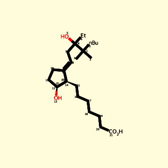 CCCCC(C)(C)C(O)(CC)CC=C1CC[C@H](O)[C@@H]1CCCCCCC(=O)O